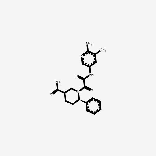 Cc1cc(NC(=O)C(=O)N2CC(C(N)=O)CC[C@@H]2c2ccccc2)cnc1N